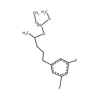 CO[SiH](OC)OC(C)CCCc1cc(F)cc(F)c1